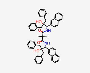 CC(C)(C(=O)N[C@H](c1ccc2ccccc2c1)C(O)(Cc1ccccc1)Cc1ccccc1)C(=O)N[C@H](c1ccc2ccccc2c1)C(O)(Cc1ccccc1)Cc1ccccc1